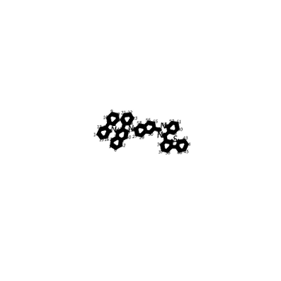 c1ccc2c(-n3c4ccccc4c4ccccc43)c3c4ccccc4n(-c4ccc5cc(-c6nc(-c7cccc8c7sc7ccccc78)c7ccccc7n6)ccc5c4)c3cc2c1